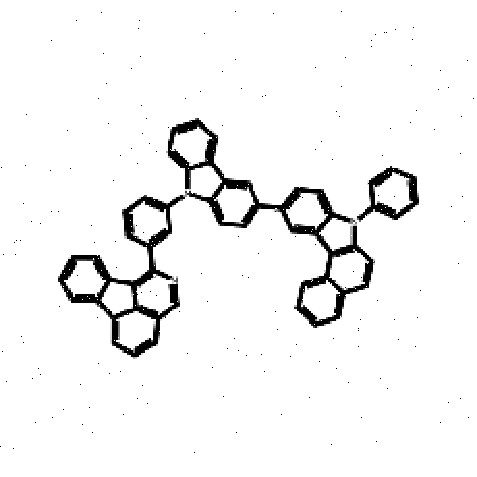 c1ccc(-n2c3ccc(-c4ccc5c(c4)c4ccccc4n5-c4cccc(-c5ncc6cccc7c6c5-c5ccccc5-7)c4)cc3c3c4ccccc4ccc32)cc1